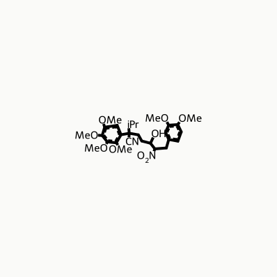 COc1ccc(CC(C(O)CCC(C#N)(c2cc(OC)c(OC)c(OC)c2OC)C(C)C)[N+](=O)[O-])cc1OC